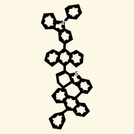 C1=C(c2c3ccccc3c(-c3ccc4c(c3)c3ccccc3n4-c3ccccc3)c3ccccc23)c2sc3cccc(-c4c5ccccc5c(-c5ccccc5)c5ccccc45)c3c2CC1